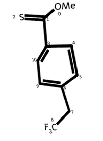 COC(=S)c1ccc(CC(F)(F)F)cc1